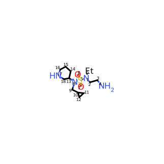 CCN(CCN)S(=O)(=O)N(CC1CC1)C1CCCNC1